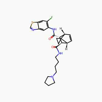 O=C(NCCCCN1CCCC1)[C@H]1[C@H](C(=O)Nc2cc3ncsc3cc2F)[C@@H]2C=C[C@H]1C21CC1